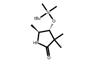 C[C@@H]1NC(=O)C(C)(C)[C@H]1O[Si](C)(C)C(C)(C)C